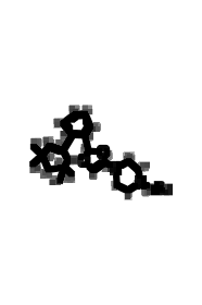 CCCCN1CCN(C2=COC(c3ccccc3C3=CC(C)(C)CC(C)(C)C3)O2)CC1